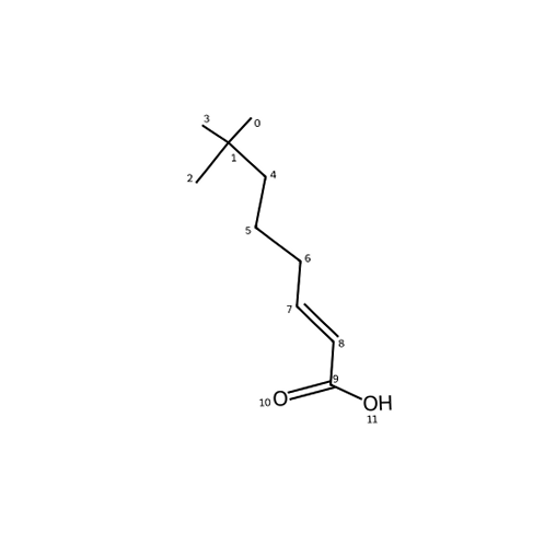 CC(C)(C)CCCC=CC(=O)O